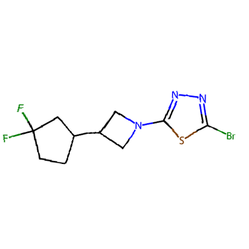 FC1(F)CCC(C2CN(c3nnc(Br)s3)C2)C1